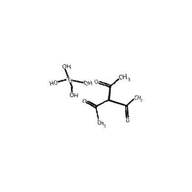 CC(=O)C(C(C)=O)C(C)=O.[OH][Ti]([OH])([OH])[OH]